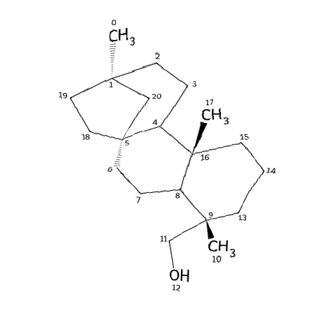 C[C@@]12CCC3[C@@](CCC4[C@@](C)(CO)CCC[C@]43C)(CC1)C2